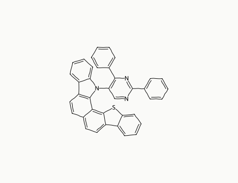 c1ccc(-c2ncc(-n3c4ccccc4c4ccc5ccc6c7ccccc7sc6c5c43)c(-c3ccccc3)n2)cc1